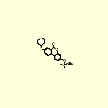 CC(C)(C)[Si](C)(C)Oc1ccc2c(c1)oc(=O)c1cc(OC3CCOCC3)ccc12